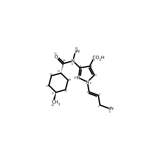 CC(C)CC=Cn1cc(C(=O)O)c(N(C(=O)[C@H]2CC[C@H](C)CC2)C(C)C)n1